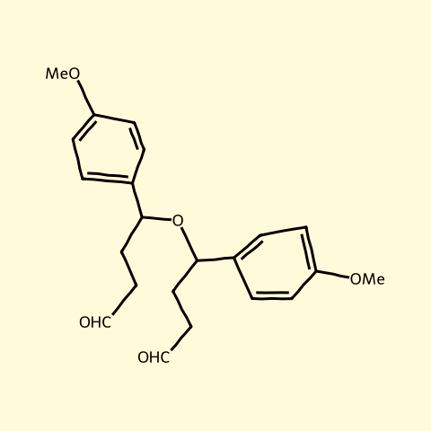 COc1ccc(C(CCC=O)OC(CCC=O)c2ccc(OC)cc2)cc1